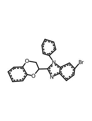 Brc1ccc2nc(C3COc4ccccc4O3)n(-c3ccccc3)c2c1